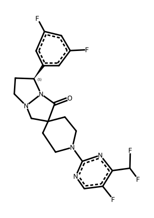 O=C1N2[C@H](c3cc(F)cc(F)c3)CCN2CC12CCN(c1ncc(F)c(C(F)F)n1)CC2